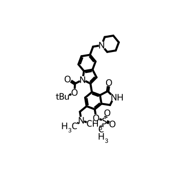 CN(C)Cc1cc(-c2cc3cc(CN4CCCCC4)ccc3n2C(=O)OC(C)(C)C)c2c(c1OS(C)(=O)=O)CNC2=O